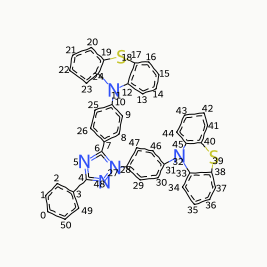 c1ccc(-c2nc(-c3ccc(N4c5ccccc5Sc5ccccc54)cc3)n(-c3ccc(N4c5ccccc5Sc5ccccc54)cc3)n2)cc1